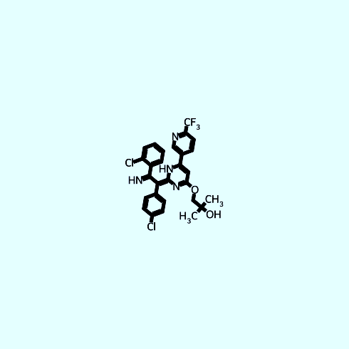 CC(C)(O)COC1=N/C(=C(/C(=N)c2ccccc2Cl)c2ccc(Cl)cc2)NC(c2ccc(C(F)(F)F)nc2)=C1